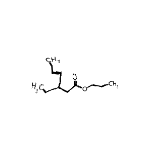 CCCOC(=O)CC(CC)CCC